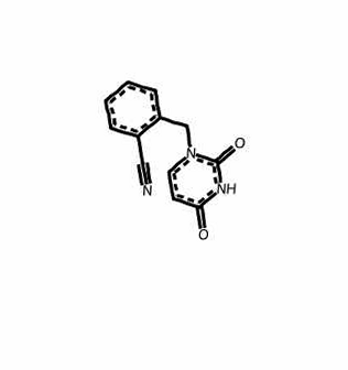 N#Cc1ccccc1Cn1ccc(=O)[nH]c1=O